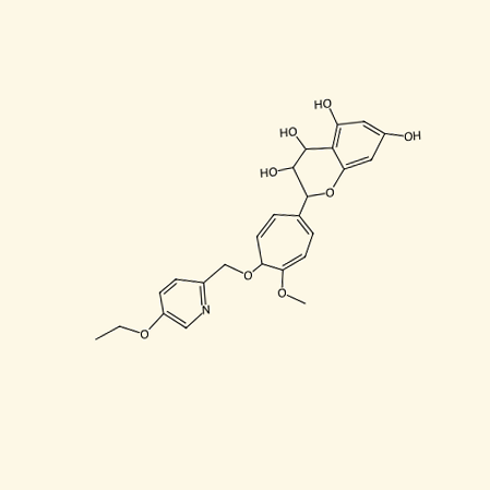 CCOc1ccc(COC2C=CC(C3Oc4cc(O)cc(O)c4C(O)C3O)=CC=C2OC)nc1